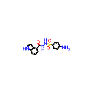 Nc1ccc(S(=O)(=O)NNC(=O)c2cccc3[nH]ccc23)cc1